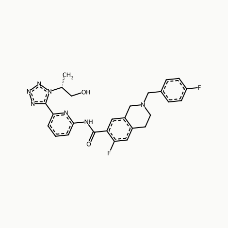 C[C@H](CO)n1nnnc1-c1cccc(NC(=O)c2cc3c(cc2F)CCN(Cc2ccc(F)cc2)C3)n1